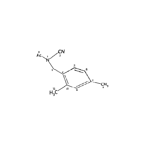 CC(=O)N(C#N)Cc1ccc(C)cc1C